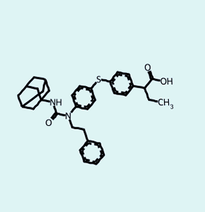 CCC(C(=O)O)c1ccc(Sc2ccc(N(CCc3ccccc3)C(=O)NC34CC5CC(CC(C5)C3)C4)cc2)cc1